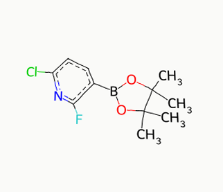 CC1(C)OB(c2ccc(Cl)nc2F)OC1(C)C